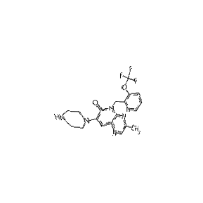 Cc1cnc2cc(N3CCNCC3)c(=O)n(Cc3ncccc3OC(F)(F)F)c2n1